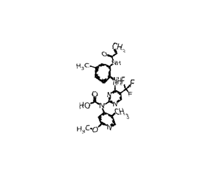 C=CC(=O)Nc1cc(C)ccc1Nc1nc(N(C(=O)O)c2cc(OC)ncc2C)ncc1C(F)(F)F